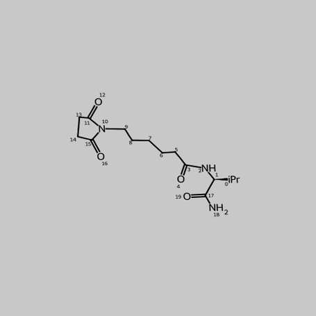 CC(C)[C@H](NC(=O)CCCCCN1C(=O)CCC1=O)C(N)=O